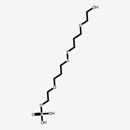 O=P(O)(O)OCCOCCCSSCCCOCCO